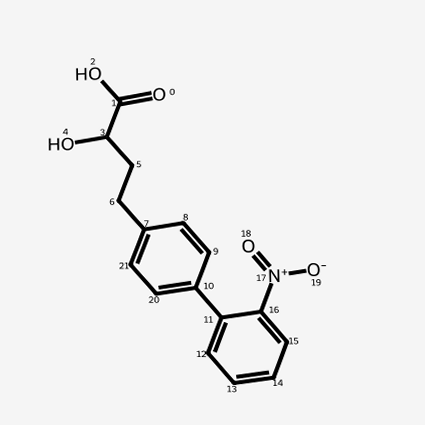 O=C(O)C(O)CCc1ccc(-c2ccccc2[N+](=O)[O-])cc1